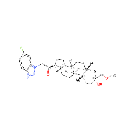 CCOC[C@@]1(O)CC[C@H]2[C@H](CC[C@@H]3[C@@H]2CC[C@]2(C)[C@@H](C(=O)Cn4nnc5ccc(F)cc54)CC[C@@H]32)C1